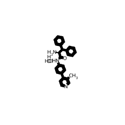 Cc1cnccc1-c1ccc(NC(=O)[C@@H](N)C(c2ccccc2)c2ccccc2)cc1.Cl.Cl